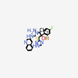 C[C@@H](N(N)C(=S)Nc1cnc2ccccc2c1)[C@@](O)(Cc1nc[nH]n1)c1ccc(F)cc1F